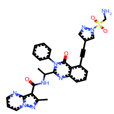 Cc1nn2cccnc2c1C(=O)NC(C)c1nc2cccc(C#Cc3cnn(S(=O)(=O)CN)c3)c2c(=O)n1-c1ccccc1